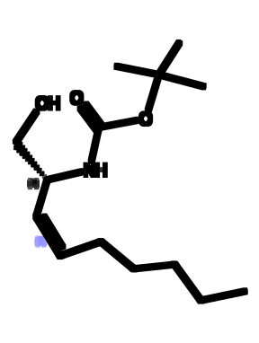 CCCCC/C=C\[C@H](CO)NC(=O)OC(C)(C)C